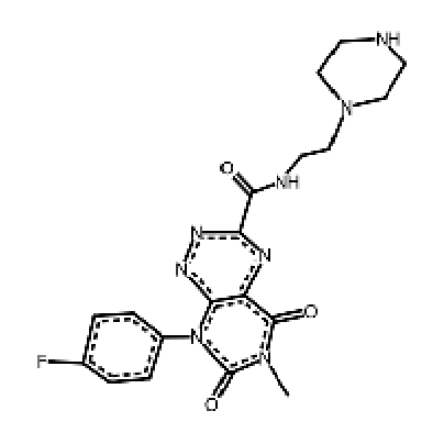 Cn1c(=O)c2nc(C(=O)NCCN3CCNCC3)nnc2n(-c2ccc(F)cc2)c1=O